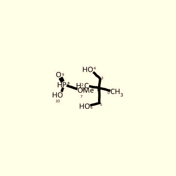 CC(C)(CO)CO.CO[PH](=O)O